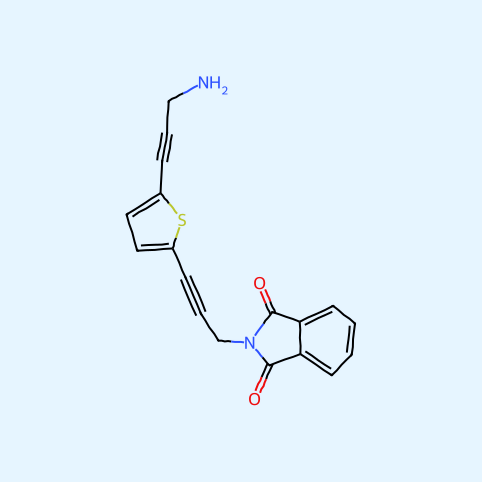 NCC#Cc1ccc(C#CCN2C(=O)c3ccccc3C2=O)s1